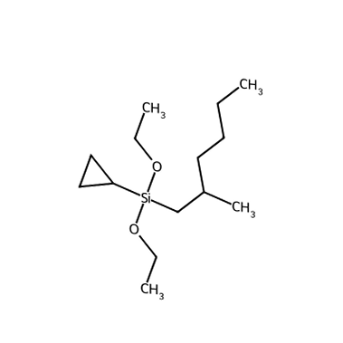 CCCCC(C)C[Si](OCC)(OCC)C1CC1